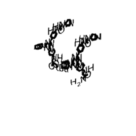 CC(C)(C)OC(=O)CNC1CCN(c2nc(-c3ccc(NC(=O)Nc4ccncc4)cc3)nc(N3CC4CCC(C3)O4)n2)CC1.NC(=O)CNC1CCN(c2nc(-c3ccc(NC(=O)Nc4ccncc4)cc3)nc(N3CC4CCC(C3)O4)n2)CC1